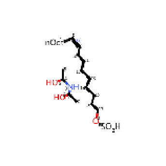 CC(O)NC(C)O.CCCCCCCC/C=C\CCCCCCCCOS(=O)(=O)O